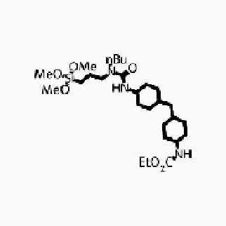 CCCCN(CCC[Si](OC)(OC)OC)C(=O)NC1CCC(CC2CCC(NC(=O)OCC)CC2)CC1